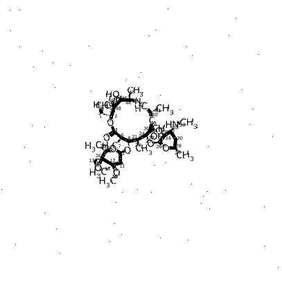 CC[C@H]1OC(=O)[C@H](C)[C@@H](O[C@H]2C[C@@](C)(OC)[C@]3(CO3)[C@H](C)O2)[C@H](C)[C@@H](O[C@@H]2O[C@H](C)C[C@H](NC)[C@H]2O)[C@](C)(O)C[C@@H](C)CN[C@H](C)[C@@H](O)[C@]1(C)O